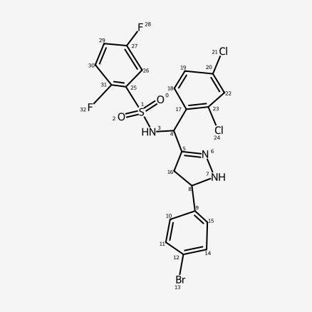 O=S(=O)(NC(C1=NNC(c2ccc(Br)cc2)C1)c1ccc(Cl)cc1Cl)c1cc(F)ccc1F